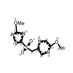 COc1nsc(S(=O)(=O)Cc2cnc(OC(C)C)cn2)n1